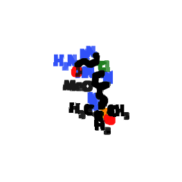 COc1c(Nc2c(Cl)cnnc2C(N)=O)cncc1-c1cc(P(C)(C)=O)n(C)n1